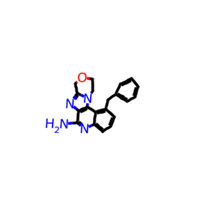 Nc1nc2cccc(Cc3ccccc3)c2c2c1nc1n2CCOC1